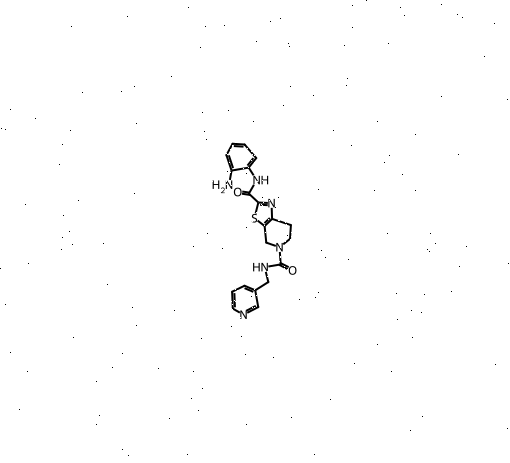 Nc1ccccc1NC(=O)c1nc2c(s1)CN(C(=O)NCc1cccnc1)CC2